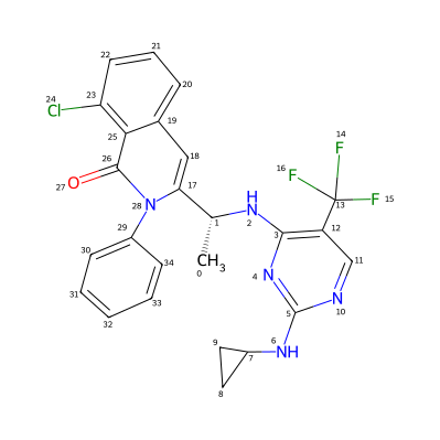 C[C@@H](Nc1nc(NC2CC2)ncc1C(F)(F)F)c1cc2cccc(Cl)c2c(=O)n1-c1ccccc1